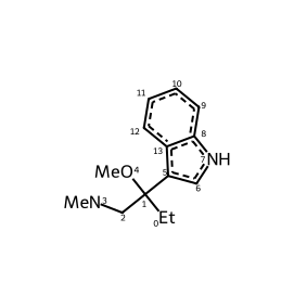 CCC(CNC)(OC)c1c[nH]c2ccccc12